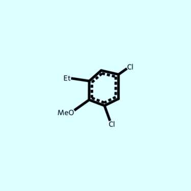 CCc1cc(Cl)cc(Cl)c1OC